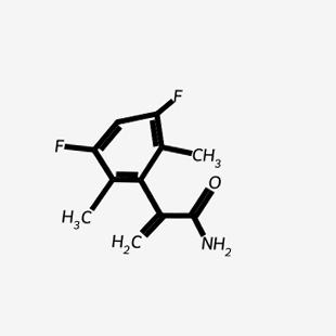 C=C(C(N)=O)c1c(C)c(F)cc(F)c1C